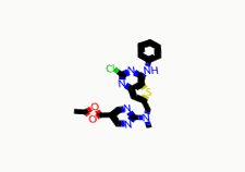 CC1OC(c2cnc(N(C)Cc3cc4nc(Cl)nc(Nc5ccccc5)c4s3)nc2)O1